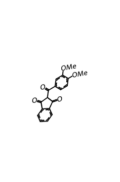 COc1ccc(C(=O)C2C(=O)c3ccccc3C2=O)cc1OC